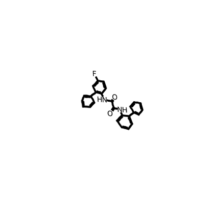 O=C(Nc1ccccc1-c1ccccc1)C(=O)Nc1ccc(F)cc1-c1ccccc1